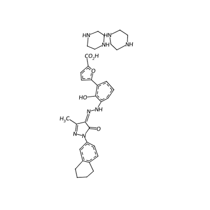 C1CNCCN1.C1CNCCN1.CC1=NN(c2ccc3c(c2)CCCC3)C(=O)C1=NNc1cccc(-c2ccc(C(=O)O)o2)c1O